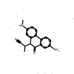 CNc1ccc2c(c1)C(C(C)C#N)C(=O)c1cc(N)ccc1-2